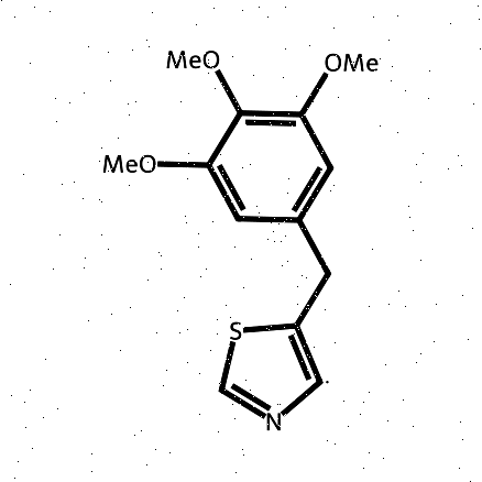 COc1cc(Cc2[c]ncs2)cc(OC)c1OC